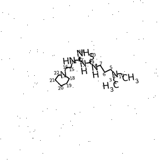 CCN(CC)CCCNC(=S)NC(=N)NCCN1CCCCC1